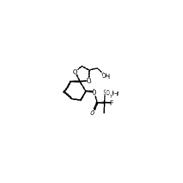 CC(F)(C(=O)OC1CCCCC12OCC(CO)O2)S(=O)(=O)O